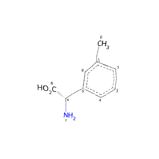 Cc1cccc([C@H](N)C(=O)O)c1